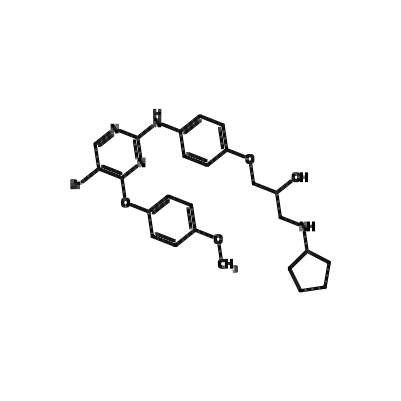 COc1ccc(Oc2nc(Nc3ccc(OCC(O)CNC4CCCC4)cc3)ncc2Br)cc1